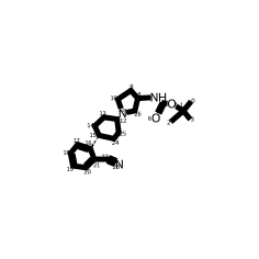 CC(C)(C)OC(=O)NC1CCN([C@H]2CC[C@@H](c3ccccc3C#N)CC2)C1